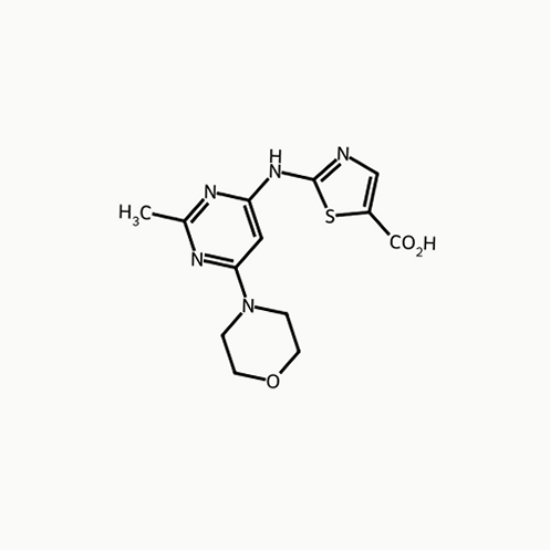 Cc1nc(Nc2ncc(C(=O)O)s2)cc(N2CCOCC2)n1